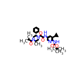 CC(C)C(=O)N1C[C@H](c2ccccc2)N(C(=O)C(=O)Nc2cnc(NC(=O)OC(C)(C)C)c(C3CC3)c2)C[C@H]1C